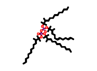 C/C=C/CC/C=C/CC/C=C(\C)C(C)(C)OP(=O)(OC(C)(C)/C(C)=C/CC/C=C/CC/C=C/C)OP(=O)(OC(C)(C)/C(C)=C/CC/C=C/CC/C=C/C)OC(C)(C)/C(C)=C/CC/C=C/CC/C=C/C